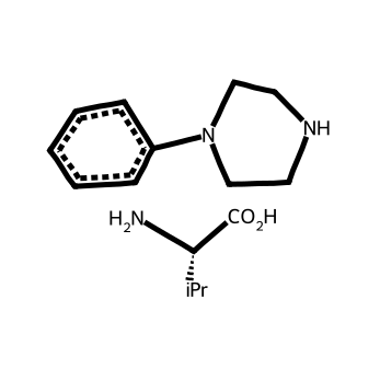 CC(C)[C@H](N)C(=O)O.c1ccc(N2CCNCC2)cc1